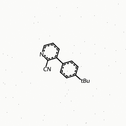 CC(C)(C)c1ccc(-c2cccnc2C#N)cc1